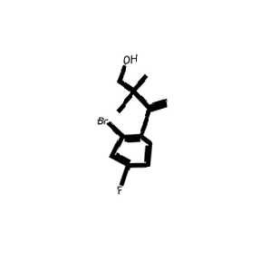 C=C(c1ccc(F)cc1Br)C(C)(C)CO